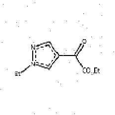 CCOC(=O)C(=O)c1cnn(CC)c1